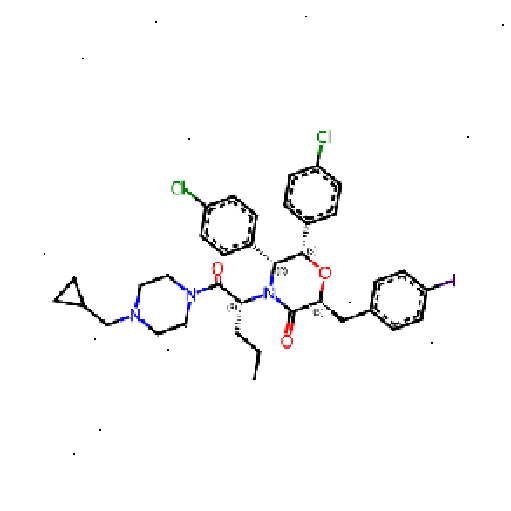 CCC[C@H](C(=O)N1CCN(CC2CC2)CC1)N1C(=O)[C@H](Cc2ccc(I)cc2)O[C@@H](c2ccc(Cl)cc2)[C@H]1c1ccc(Cl)cc1